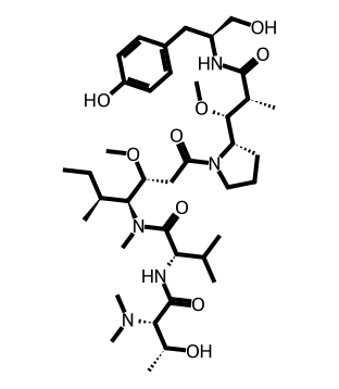 CC[C@H](C)[C@@H]([C@@H](CC(=O)N1CCC[C@H]1[C@H](OC)[C@@H](C)C(=O)N[C@H](CO)Cc1ccc(O)cc1)OC)N(C)C(=O)[C@@H](NC(=O)[C@H]([C@@H](C)O)N(C)C)C(C)C